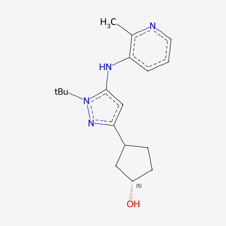 Cc1ncccc1Nc1cc(C2CC[C@H](O)C2)nn1C(C)(C)C